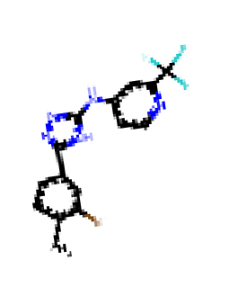 Cc1ccc(-c2nnc(Nc3ccnc(C(F)(F)F)c3)[nH]2)cc1Br